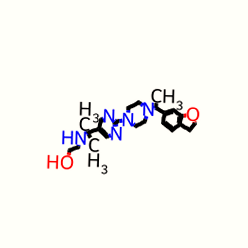 CC(c1ccc2c(c1)OCC2)N1CCN(c2ncc(C(C)(C)NCCO)cn2)CC1